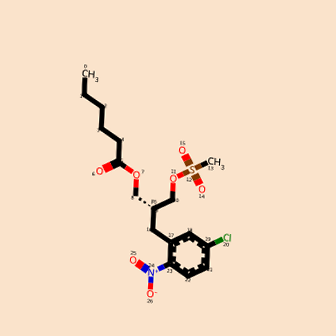 CCCCCC(=O)OC[C@H](COS(C)(=O)=O)Cc1cc(Cl)ccc1[N+](=O)[O-]